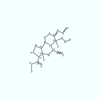 C=C/C=C1/CCC2C(C(N)CC3(C)C(C(=C)CC)CCC23)C1(C)CCC